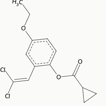 CCOc1ccc(OC(=O)C2CC2)c(C=C(Cl)Cl)c1